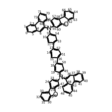 c1ccc2c(c1)cc(N(c1ccc(-c3ccc(-c4ccc(N(c5ccc6c(c5)oc5ccccc56)c5cc6ccccc6c6ccccc56)cc4)cc3)cc1)c1ccc3c(c1)oc1ccccc13)c1ccccc12